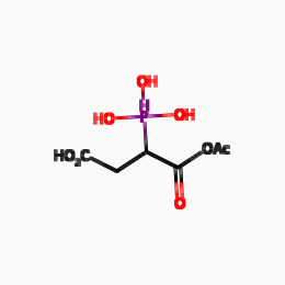 CC(=O)OC(=O)C(CC(=O)O)[PH](O)(O)O